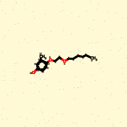 CCCCCCOCCOc1ccc([O])cc1C